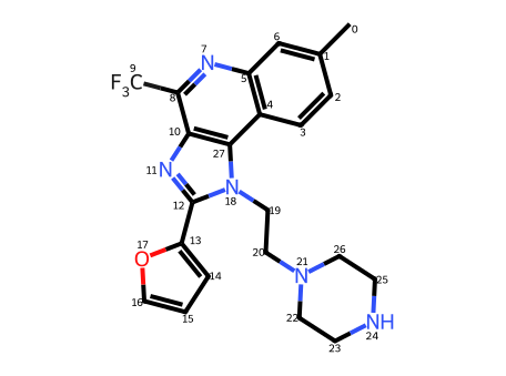 Cc1ccc2c(c1)nc(C(F)(F)F)c1nc(-c3ccco3)n(CCN3CCNCC3)c12